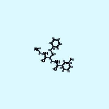 N#CCNC(=O)C(CNC(=O)c1cccc(F)c1)SCc1ccccc1